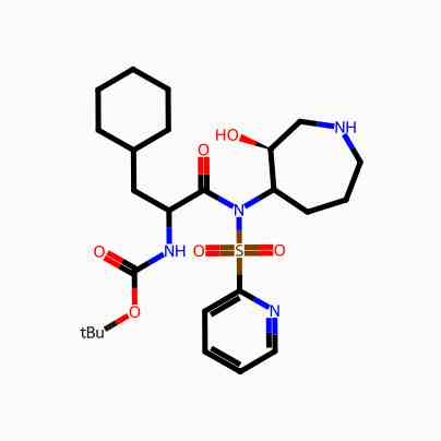 CC(C)(C)OC(=O)NC(CC1CCCCC1)C(=O)N(C1CCCNC[C@@H]1O)S(=O)(=O)c1ccccn1